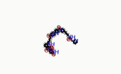 O=C(/C=C/c1cccnc1)NCCCCC1CCN(C(=O)c2ccc(N3CCN(C(=O)CCCCNc4cccc5c4C(=O)N(C4CCC(=O)NC4=O)C5=O)CC3)nc2)CC1